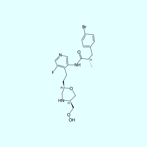 C[C@@H](Cc1ccc(Br)cc1)C(=O)Nc1cncc(F)c1CC[C@@H]1CN[C@H](COO)CO1